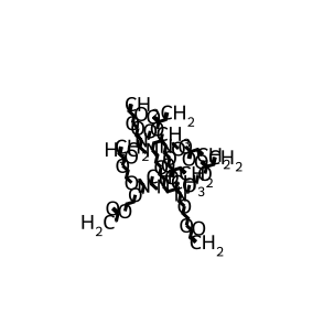 C=CC(=O)OCCOCN(COCCOC(=O)C=C)C(C)CN(CCOCCN(CC(C)N(COOC(=O)C=C)COOC(=O)C=C)CC(C)N(COOC(=O)C=C)COOC(=O)C=C)CC(C)N(COCCOC(=O)C=C)COCCOC(=O)C=C